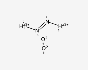 [Hf+3][N]=[N][Hf+3].[O-2].[O-2]